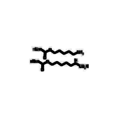 CCCCCCCCCC(=O)OCCCCCN.CCCCCCCCCC(=O)OCCCCCNC(=O)O